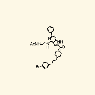 CC(=O)NCCNc1nc(-c2ccccc2)nc2[nH]c(C(=O)N3CCN(CCCc4ccc(Br)cc4)CC3)cc12